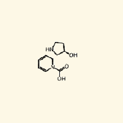 O=C(O)N1C=CC=CC1.O[C@@H]1CCNC1